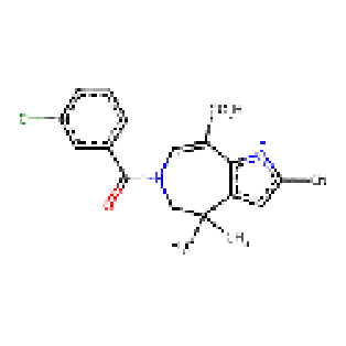 CC1(C)CN(C(=O)c2cccc(Cl)c2)C=C(C(=O)O)c2[nH]c(C#N)cc21